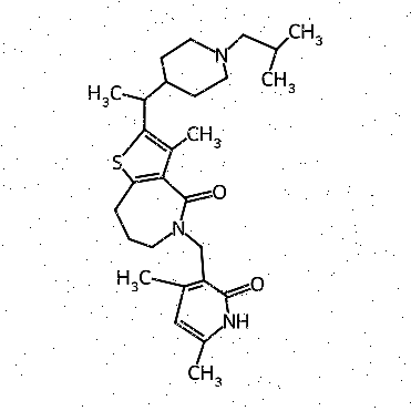 Cc1cc(C)c(CN2CCCc3sc(C(C)C4CCN(CC(C)C)CC4)c(C)c3C2=O)c(=O)[nH]1